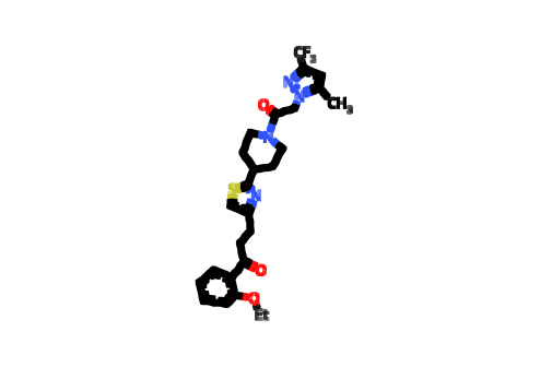 CCOc1ccccc1C(=O)CCc1csc(C2CCN(C(=O)Cn3nc(C(F)(F)F)cc3C)CC2)n1